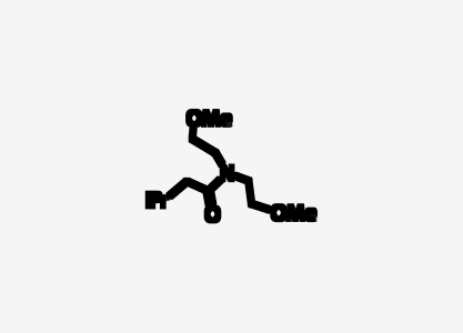 COCCN(CCOC)C(=O)CC(C)C